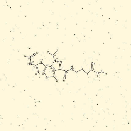 CCOC(=O)CCCNC(=O)c1nn(C(C)C)c2c1C(C)Cc1nc(NC(C)=O)sc1-2